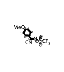 COc1ccc(/C(C#N)=N/OS(=O)(=O)C(F)(F)F)cc1